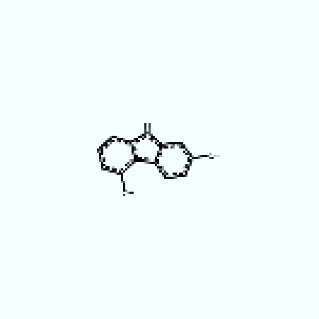 Oc1ccc2c(c1)[nH]c1cccc(O)c12